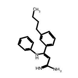 CCCCc1cccc(/C(=C/C(=N)N)Nc2ccccc2)c1